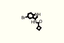 O=C(Nc1c[nH]c2ccc(Br)cc12)C1CCC1